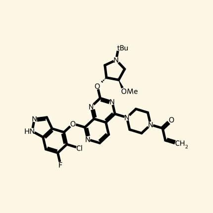 C=CC(=O)N1CCN(c2nc(O[C@@H]3CN(C(C)(C)C)C[C@H]3OC)nc3c(Oc4c(Cl)c(F)cc5[nH]ncc45)nccc23)CC1